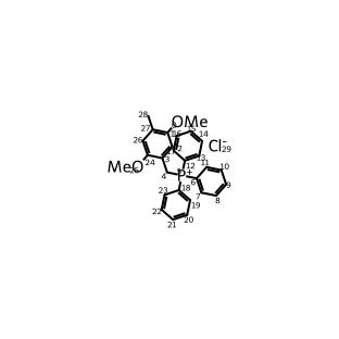 COc1cc(C[P+](c2ccccc2)(c2ccccc2)c2ccccc2)c(OC)cc1C.[Cl-]